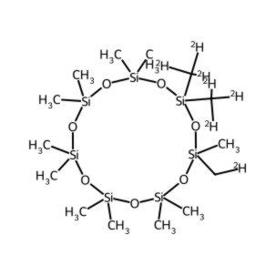 [2H]C[Si]1(C)O[Si](C)(C)O[Si](C)(C)O[Si](C)(C)O[Si](C)(C)O[Si](C)(C)O[Si](C([2H])([2H])[2H])(C([2H])([2H])[2H])O1